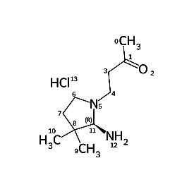 CC(=O)CCN1CCC(C)(C)[C@@H]1N.Cl